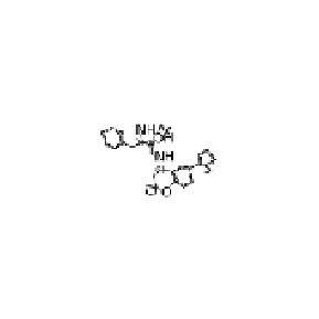 CC(=O)N[C@@H](Cc1ccccc1)[C@@H](O)CN[C@H]1CC2(CCC2)Oc2ccc(-c3cccs3)cc21